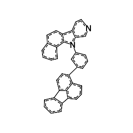 c1cc(-c2ccc3c4c(cccc24)-c2ccccc2-3)cc(-n2c3cnccc3c3ccc4ccccc4c32)c1